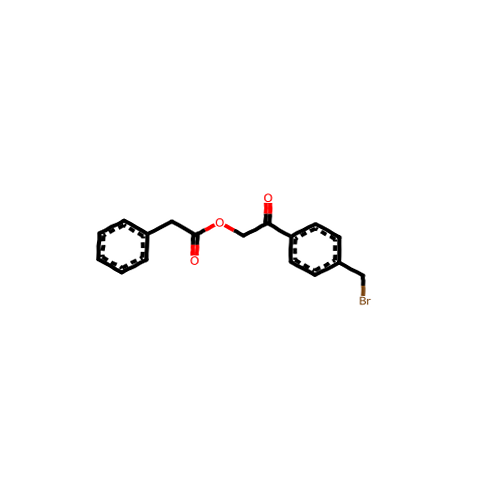 O=C(Cc1ccccc1)OCC(=O)c1ccc(CBr)cc1